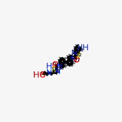 O=C(c1ncc(CNCCO)s1)N1CCc2c(-c3cccc4c3CCN4C(=O)c3nc4c(s3)CNCC4)cccc21